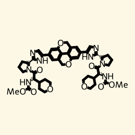 COC(=O)N[C@H](C(=O)N1CCC[C@H]1c1ncc(-c2cc3c4c(c2)OCc2cc(-c5cnc([C@@H]6CCCN6C(=O)[C@@H](NC(=O)OC)C6CCOCC6)[nH]5)cc(c2-4)OC3)[nH]1)C1CCOCC1